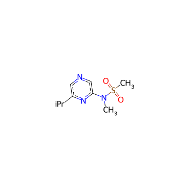 CC(C)c1cncc(N(C)S(C)(=O)=O)n1